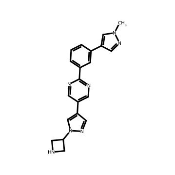 Cn1cc(-c2cccc(-c3ncc(-c4cnn(C5CNC5)c4)cn3)c2)cn1